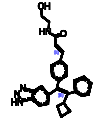 O=C(/C=C/c1ccc(/C(=C(\c2ccccc2)C2CCC2)c2ccc3[nH]nnc3c2)cc1)NCCO